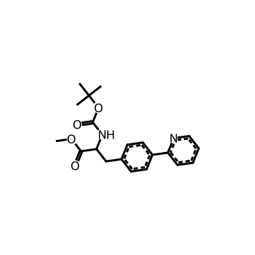 COC(=O)C(Cc1ccc(-c2ccccn2)cc1)NC(=O)OC(C)(C)C